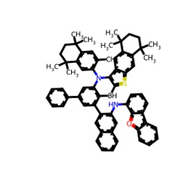 Cc1cc2c(cc1N1c3cc(-c4ccccc4)cc(-c4cc5ccccc5cc4Nc4cccc5c4oc4ccccc45)c3Bc3sc4cc5c(cc4c31)C(C)(C)CCC5(C)C)C(C)(C)CCC2(C)C